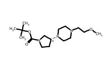 COCCN1CCN([C@@H]2CCN(C(=O)OC(C)(C)C)C2)CC1